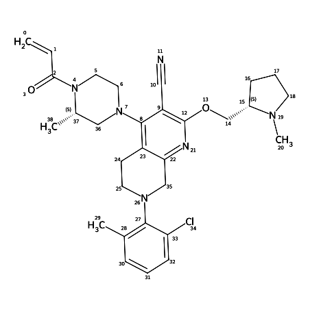 C=CC(=O)N1CCN(c2c(C#N)c(OC[C@@H]3CCCN3C)nc3c2CCN(c2c(C)cccc2Cl)C3)C[C@@H]1C